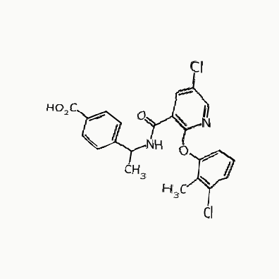 Cc1c(Cl)cccc1Oc1ncc(Cl)cc1C(=O)NC(C)c1ccc(C(=O)O)cc1